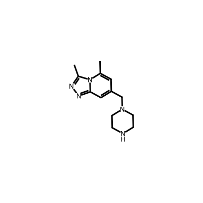 Cc1cc(CN2CCNCC2)cc2nnc(C)n12